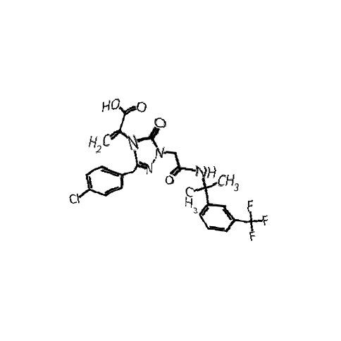 C=C(C(=O)O)n1c(-c2ccc(Cl)cc2)nn(CC(=O)NC(C)(C)c2cccc(C(F)(F)F)c2)c1=O